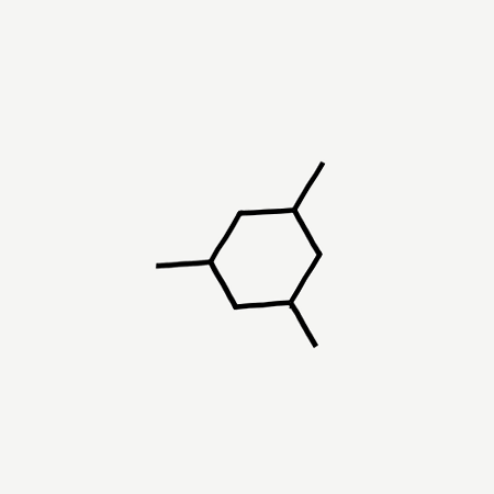 C[C]1CC(C)CC(C)C1